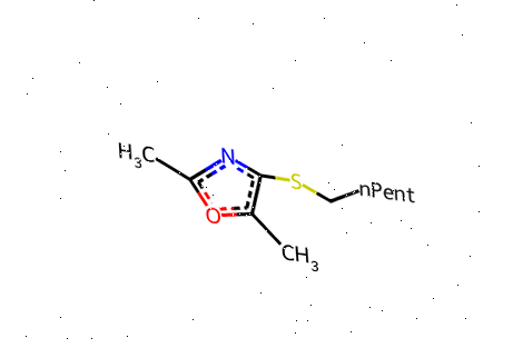 CCCCCCSc1nc(C)oc1C